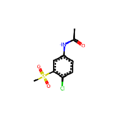 CC(=O)Nc1ccc(Cl)c(S(C)(=O)=O)c1